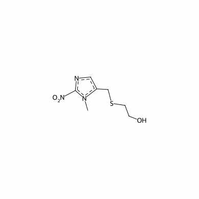 Cn1c(CSCCO)cnc1[N+](=O)[O-]